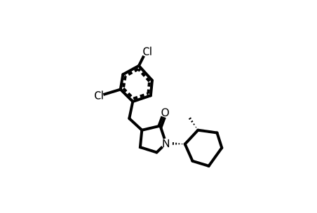 C[C@@H]1CCCC[C@@H]1N1CCC(Cc2ccc(Cl)cc2Cl)C1=O